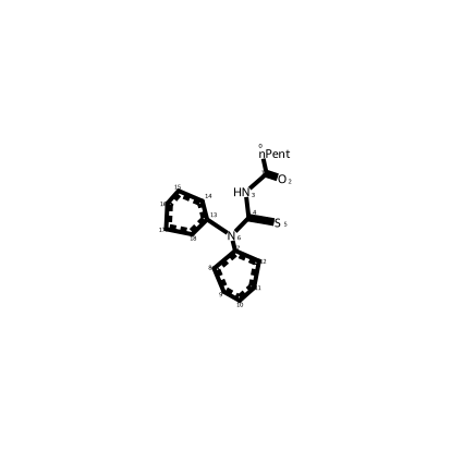 CCCCCC(=O)NC(=S)N(c1ccccc1)c1ccccc1